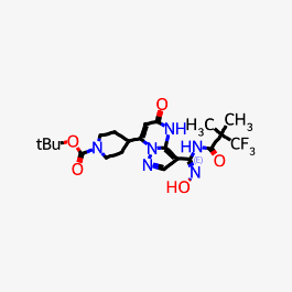 CC(C)(C)OC(=O)N1CCC(c2cc(=O)[nH]c3c(/C(=N\O)NC(=O)C(C)(C)C(F)(F)F)cnn23)CC1